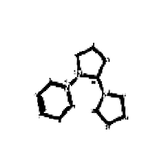 [CH]1CCN(N2CC=CCC2)C1N1CCCC1